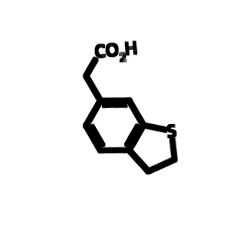 O=C(O)Cc1ccc2c(c1)SCC2